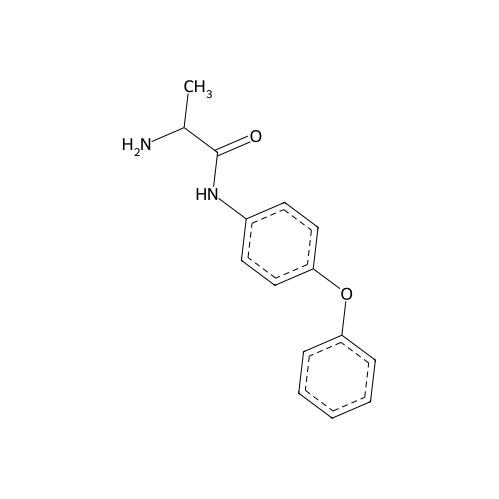 CC(N)C(=O)Nc1ccc(Oc2ccccc2)cc1